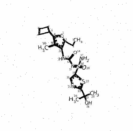 CCc1oc(C2CCC2)c(C)c1NC(=O)N=S(N)(=O)c1cnc(C(C)(C)O)s1